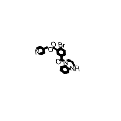 C[C@H]1CCN(C(=O)c2ccc(Br)c(C(=O)OCc3ccncc3)c2)c2ccccc2N1